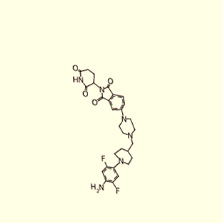 Nc1cc(F)c(N2CCC(CN3CCN(c4ccc5c(c4)C(=O)N(C4CCC(=O)NC4=O)C5=O)CC3)CC2)cc1F